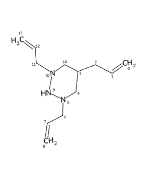 C=CCC1CN(CC=C)NN(CC=C)C1